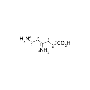 NCCC(N)CCC(=O)O